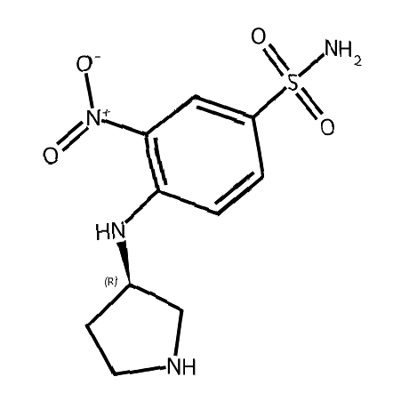 NS(=O)(=O)c1ccc(N[C@@H]2CCNC2)c([N+](=O)[O-])c1